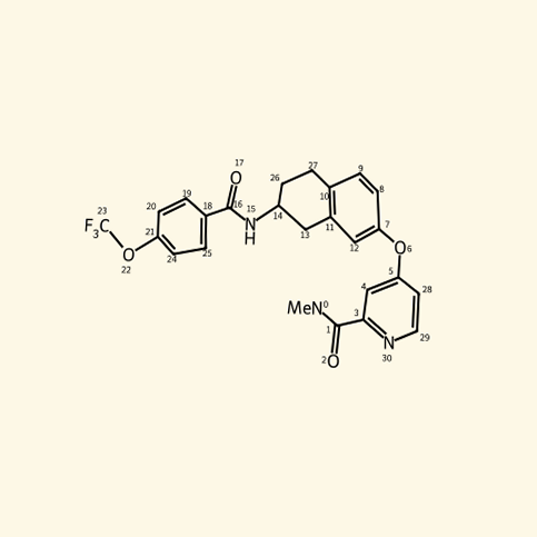 CNC(=O)c1cc(Oc2ccc3c(c2)CC(NC(=O)c2ccc(OC(F)(F)F)cc2)CC3)ccn1